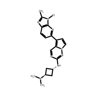 CCn1c(C)nc2ccc(-c3ccn4nc(N[C@H]5C[C@H](N(C)C)C5)ncc34)nc21